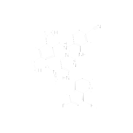 COc1ccc(CNc2ccc(C#N)cc2Nc2ncc([N+](=O)[O-])c(N[C@@H]3CCOc4c(F)cc(F)cc43)n2)c(OC)c1